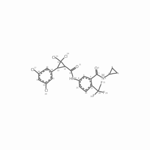 O=C(NC1CC1)c1cc(NC(=O)C2C(c3cc(Cl)cc(Cl)c3)C2(Cl)Cl)ccc1C(F)(F)F